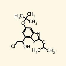 CC(C)Oc1nc2cc(OC(C)(C)C)cc(C(O)CCl)c2s1